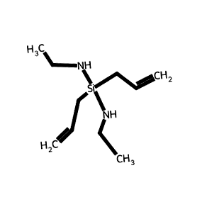 C=CC[Si](CC=C)(NCC)NCC